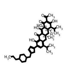 CCCC1CCC(CC2=CC=C(c3cc(C(C)C)c4c(c3O)C(=O)C3=C(O)[C@@]5(O)C(=O)C(C(C)=O)=C(O)C(C(C)C)[C@@]5(C)C[C@@]3(C)C4)C2)CC1